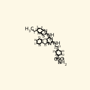 CCc1ccc2nc(Nc3cc(Cc4ccccc4)nc(NCCc4ccc(S(N)(=O)=O)cc4)n3)sc2c1